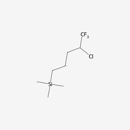 C[Si](C)(C)C[CH]CC(Cl)C(F)(F)F